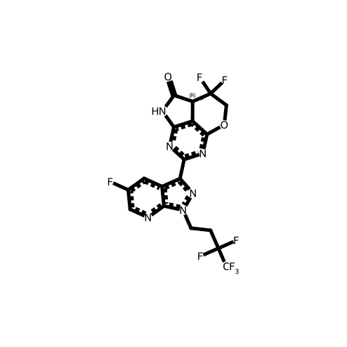 C[C@]12C(=O)Nc3nc(-c4nn(CCC(F)(F)C(F)(F)F)c5ncc(F)cc45)nc(c31)OCC2(F)F